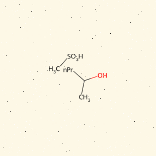 CCCC(C)O.CS(=O)(=O)O